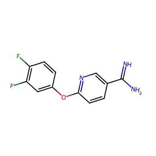 N=C(N)c1ccc(Oc2ccc(F)c(F)c2)nc1